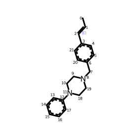 C/C=C/c1ccc(CN2CCN(c3ccccc3)CC2)cc1